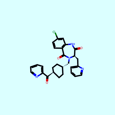 O=C1Nc2cc(Cl)ccc2C(=O)N(C[C@H]2CC[C@H](C(=O)c3ccccn3)CC2)[C@@H]1Cc1ccccn1